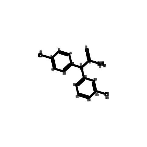 NC(=O)N(c1ccc(Cl)cc1)c1cccc(Cl)c1